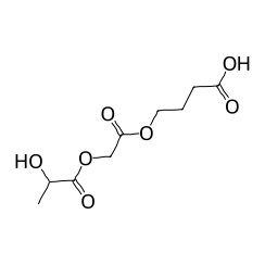 CC(O)C(=O)OCC(=O)OCCCC(=O)O